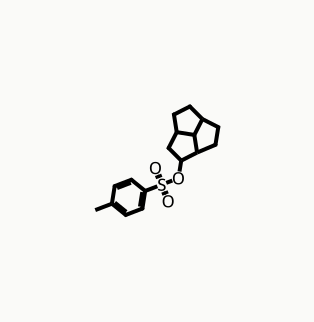 Cc1ccc(S(=O)(=O)OC2CC3CCC4CCC2C43)cc1